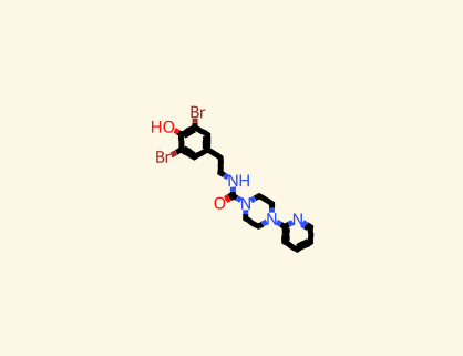 O=C(NCCc1cc(Br)c(O)c(Br)c1)N1CCN(c2ccccn2)CC1